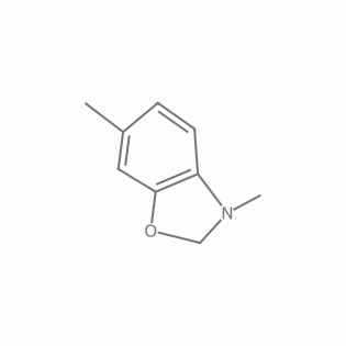 Cc1ccc2c(c1)OCN2C